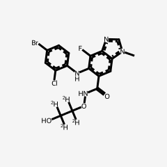 [2H]C([2H])(O)C([2H])([2H])ONC(=O)c1cc2c(ncn2C)c(F)c1Nc1ccc(Br)cc1Cl